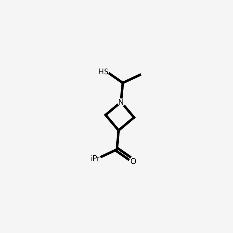 CC(C)C(=O)C1CN(C(C)S)C1